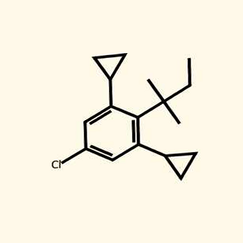 CCC(C)(C)c1c(C2CC2)cc(Cl)cc1C1CC1